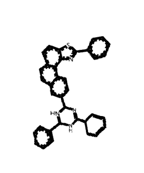 C1=CCC(C2=NC(c3ccc4c(ccc5ccc6sc(-c7ccccc7)nc6c54)c3)NC(c3ccccc3)N2)C=C1